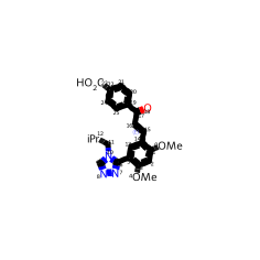 COc1cc(OC)c(-c2nncn2CC(C)C)cc1/C=C/C(=O)c1ccc(C(=O)O)cc1